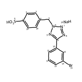 O=S(=O)(O)c1ccc(Cn2nnc(-c3cccc(Br)c3)n2)cc1.[NaH]